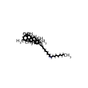 CCCCCCCC/C=C\CCCCCCCCO[C@H]1CC[C@@]2(C)C(CC[C@]3(C)[C@@H]2CC=C2[C@@H]4[C@@H](C)[C@H](C)CC[C@]4(C(=O)O)CC[C@]23C)C1(C)C